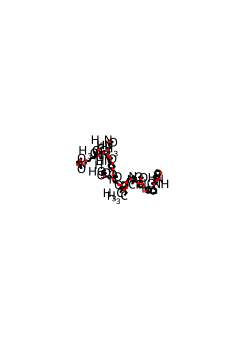 CCC1C2CC3(Cn4ncc(-c5ccc(N6CCc7cccc(C(=O)Nc8nc9ccccc9s8)c7C6)nc5C(=O)O)c4C)CC(OCCN(CCCS(=O)(=O)O)C(=O)OCc4ccc(NC(=O)[C@H](CCCNC(N)=O)NC(=O)[C@@H](NC(=O)CCCCCN5C(=O)C=CC5=O)C(C)C)cc4)(C2)CC1(C)C3